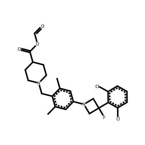 Cc1cc(N2CC(F)(c3c(Cl)cccc3Cl)C2)cc(C)c1CN1CCC(C(=O)OC=O)CC1